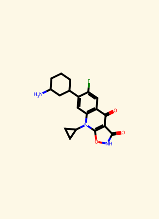 NC1CCCC(c2cc3c(cc2F)c(=O)c2c(=O)[nH]oc2n3C2CC2)C1